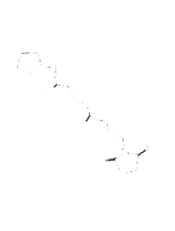 O=C(CSCC(=O)NC1CCCC1)NCCN1C(=O)CSC1=O